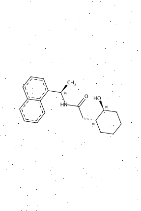 C[C@@H](NC(=O)C[C@H]1CCCC[C@@H]1O)c1cccc2ccccc12